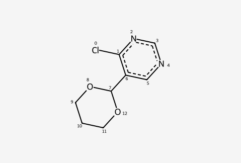 Clc1ncncc1C1OCCCO1